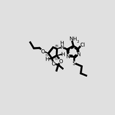 CCCO[C@H]1C[C@@H](Nc2nc(SCCC)nc(Cl)c2N)[C@@H]2OC(C)(C)O[C@@H]21